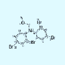 COCN(c1ccc(Br)cc1Br)c1ccc(Br)cc1Br